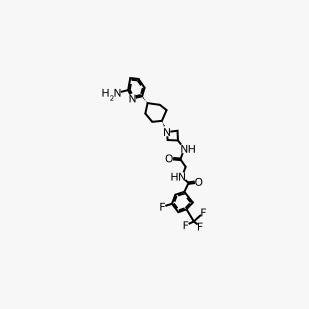 Nc1cccc([C@H]2CC[C@@H](N3CC(NC(=O)CNC(=O)c4cc(F)cc(C(F)(F)F)c4)C3)CC2)n1